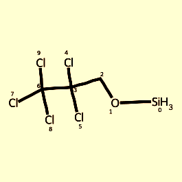 [SiH3]OCC(Cl)(Cl)C(Cl)(Cl)Cl